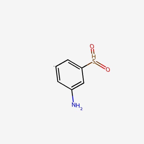 Nc1c[c]cc([SH](=O)=O)c1